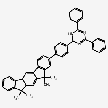 CC1(C)C2=CC3C(C=C2c2ccc(-c4ccc(C5N=C(c6ccccc6)N=C(C6=CC=CCC6)N5)cc4)cc21)c1ccccc1C3(C)C